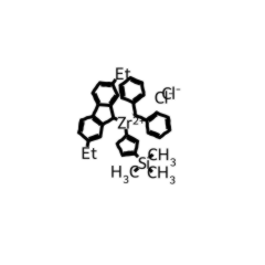 CCc1ccc2c(c1)[CH]([Zr+2]([C]1=CC([Si](C)(C)C)=CC1)=[C](c1ccccc1)c1ccccc1)c1cc(CC)ccc1-2.[Cl-].[Cl-]